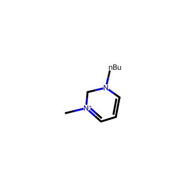 CCCCN1C=CC=[N+](C)C1